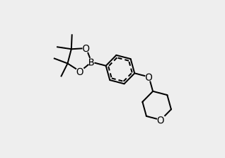 CC1(C)OB(c2ccc(OC3CCOCC3)cc2)OC1(C)C